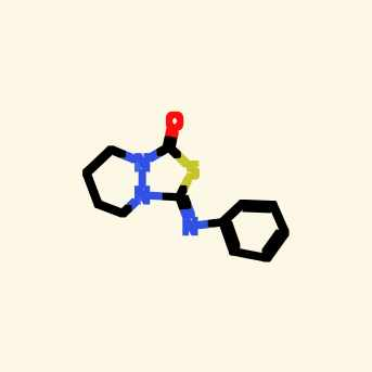 O=c1sc(=Nc2ccccc2)n2n1CCCC2